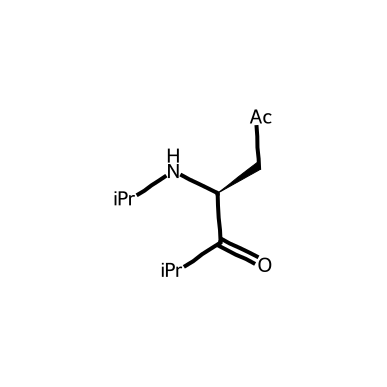 CC(=O)C[C@H](NC(C)C)C(=O)C(C)C